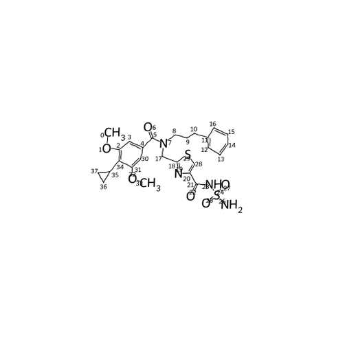 COc1cc(C(=O)N(CCCc2ccccc2)Cc2nc(C(=O)NS(N)(=O)=O)cs2)cc(OC)c1C1CC1